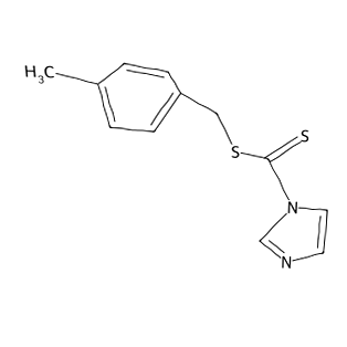 Cc1ccc(CSC(=S)n2ccnc2)cc1